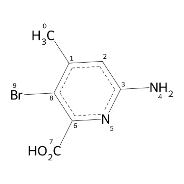 Cc1cc(N)nc(C(=O)O)c1Br